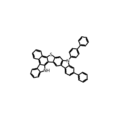 c1ccc(-c2ccc(-n3c4cc(-c5ccccc5)ccc4c4cc5c(cc43)sc3c4ccccc4c4c6ccccc6[nH]c4c53)cc2)cc1